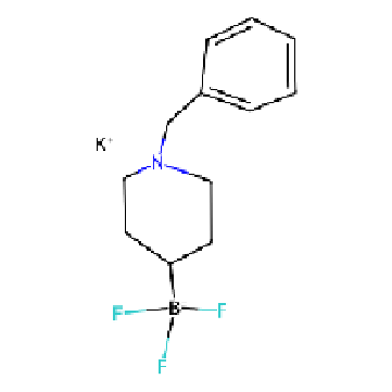 F[B-](F)(F)C1CCN(Cc2ccccc2)CC1.[K+]